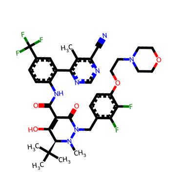 Cc1c(C#N)ncnc1-c1cc(C(F)(F)F)ccc1NC(=O)C1=C(O)[C@H](C(C)(C)C)N(C)N(Cc2ccc(OCCN3CCOCC3)c(F)c2F)C1=O